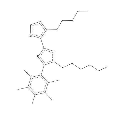 CCCCCCc1cc(-c2sccc2CCCCC)sc1-c1c(C)c(C)c(C)c(C)c1C